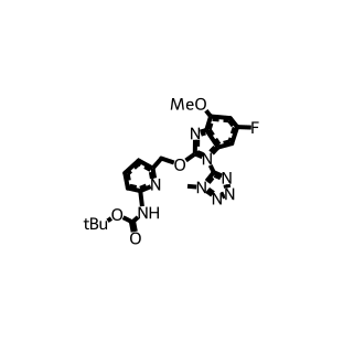 COc1cc(F)cc2c1nc(OCc1cccc(NC(=O)OC(C)(C)C)n1)n2-c1nnnn1C